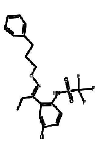 CC/C(=N\OCCCc1ccccc1)c1cc(Cl)ccc1NS(=O)(=O)C(F)(F)F